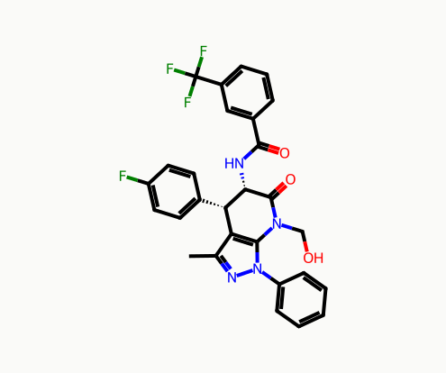 Cc1nn(-c2ccccc2)c2c1[C@H](c1ccc(F)cc1)[C@H](NC(=O)c1cccc(C(F)(F)F)c1)C(=O)N2CO